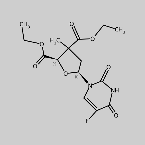 CCOC(=O)[C@@H]1O[C@H](n2cc(F)c(=O)[nH]c2=O)CC1(C)C(=O)OCC